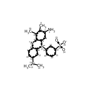 Cc1c(N)cc2c(nc3ccc(N(C)C)cc3[n+]2-c2cccc(S(=O)(=O)[O-])c2)c1C